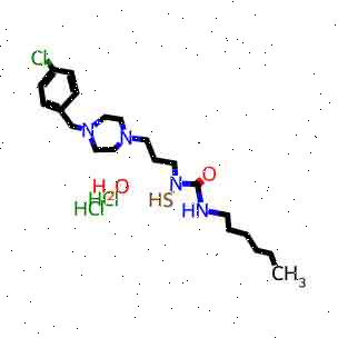 CCCCCCNC(=O)N(S)CCCN1CCN(Cc2ccc(Cl)cc2)CC1.Cl.Cl.O